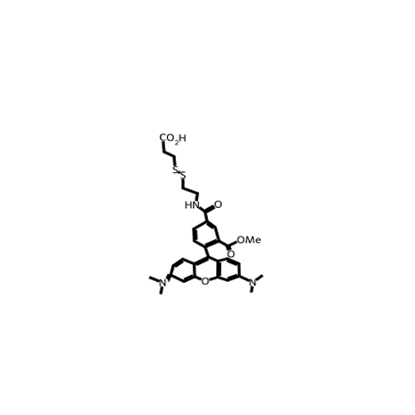 COC(=O)c1cc(C(=O)NCCSSCCC(=O)O)ccc1-c1c2ccc(=[N+](C)C)cc-2oc2cc(N(C)C)ccc12